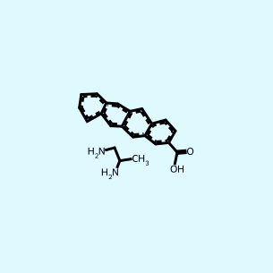 CC(N)CN.O=C(O)c1ccc2cc3cc4ccccc4cc3cc2c1